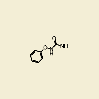 [NH]C(=O)NOc1ccccc1